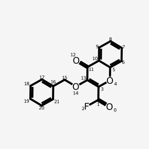 O=C(F)c1oc2ccccc2c(=O)c1OCc1ccccc1